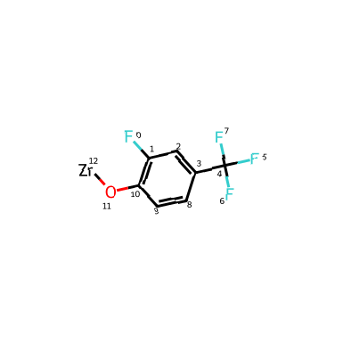 Fc1cc(C(F)(F)F)ccc1[O][Zr]